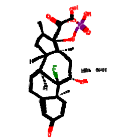 C[C@@H]1C[C@H]2[C@@H]3CCC4=CC(=O)C=C[C@]4(C)[C@@]3(F)[C@@H](O)C[C@]2(C)[C@@]1(OP(=O)(O)O)C(=O)CO.[NaH].[NaH]